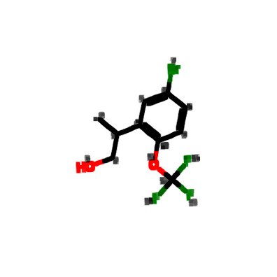 [CH2]C(CO)c1cc(Br)ccc1OC(F)(F)F